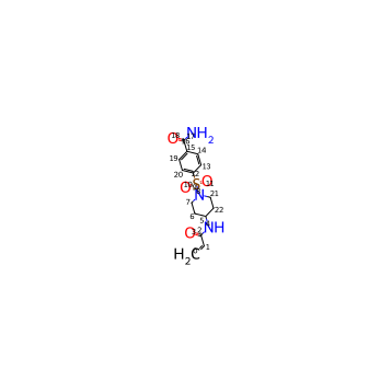 C=CC(=O)NC1CCN(S(=O)(=O)c2ccc(C(N)=O)cc2)CC1